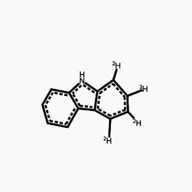 [2H]c1c([2H])c([2H])c2c([nH]c3ccccc32)c1[2H]